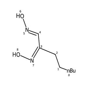 CCCCCCC(C=NO)=NO